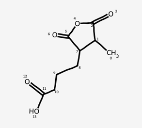 CC1C(=O)OC(=O)C1CCCC(=O)O